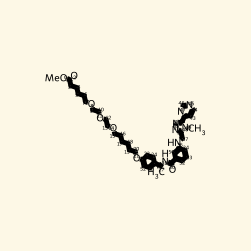 COC(=O)CCCCCOCCOCCOCCCCCCOc1ccc([C@H](C)NC(=O)c2cccc(NCc3nnc(-c4ccncn4)n3C)c2)cc1